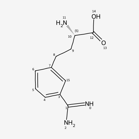 N=C(N)c1cccc(CC[C@H](N)C(=O)O)c1